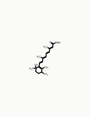 CNC(=O)/C=C(C)/C=C/C=C(C)/C=C/C1=C(C)C(C)CCC1(C)C